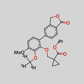 [2H]C([2H])([2H])Oc1c(OC)ccc(-c2ccc3c(c2)COC3=O)c1OCC1(C(=O)OC(C)C)CC1